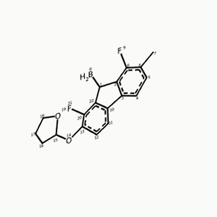 BC1c2c(ccc(C)c2F)-c2ccc(OC3CCCO3)c(F)c21